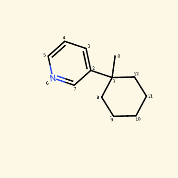 CC1(c2cccnc2)C[CH]CCC1